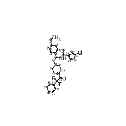 COc1ccc(C(CC2CCN(C(=O)C(F)(F)c3ccccc3)CC2)NC(=O)c2ccc(Cl)s2)cn1